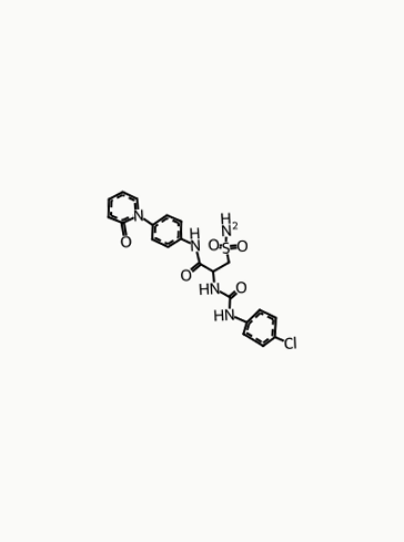 NS(=O)(=O)CC(NC(=O)Nc1ccc(Cl)cc1)C(=O)Nc1ccc(-n2ccccc2=O)cc1